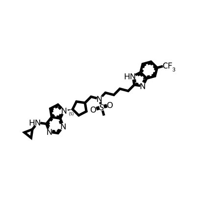 CS(=O)(=O)N(CCCCc1nc2cc(C(F)(F)F)ccc2[nH]1)CC1CC[C@H](n2ccc3c(NC4CC4)ncnc32)C1